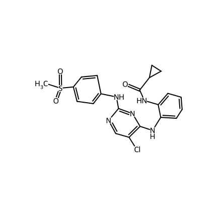 CS(=O)(=O)c1ccc(Nc2ncc(Cl)c(Nc3ccccc3NC(=O)C3CC3)n2)cc1